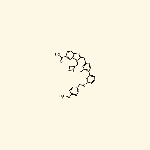 COc1ccc(COc2cccc(-c3ccc(Cc4nc5ccc(C(=O)O)cc5n4CC4CCO4)cc3F)n2)cc1